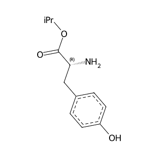 CC(C)OC(=O)[C@H](N)Cc1ccc(O)cc1